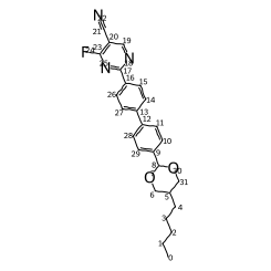 CCCCCC1COC(c2ccc(-c3ccc(-c4ncc(C#N)c(F)n4)cc3)cc2)OC1